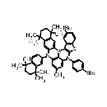 Cc1cc2c3c(c1)N(c1ccc(C(C)(C)C)cc1)c1sc4ccc(C(C)(C)C)cc4c1B3c1cc3c(cc1N2c1ccc2c(c1)C(C)(C)CCC2(C)C)C(C)(C)CCC3(C)C